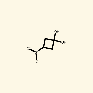 [O-][S+](Cl)C1CC(O)(O)C1